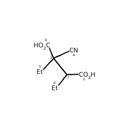 CCC(C(=O)O)C(C#N)(CC)C(=O)O